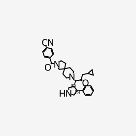 N#Cc1ccc(C(=O)N2CCC3(CCN(C(C(=O)CC4CC4)[C@@H]4CNC[C@@H]4c4ccccc4)CC3)C2)cc1